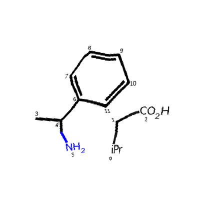 CC(C)CC(=O)O.CC(N)c1ccccc1